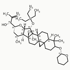 C=C(C)[C@@H](O)[C@H]1C[C@@H](C)[C@H]2[C@H](O1)[C@H](O[Si](CC)(CC)CC)[C@@]1(C)[C@@H]3CC[C@H]4C(C)(C)C(O[C@H]5CCCCO5)CCC45C[C@@]35CC[C@]21C